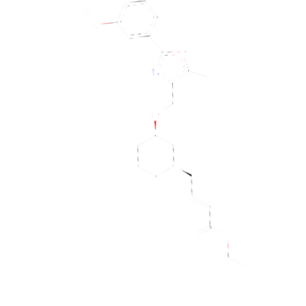 CCOC(=O)/C=C/C[C@H]1CCC[C@@H](OCc2nc(-c3cccc(OC)c3)oc2C)C1